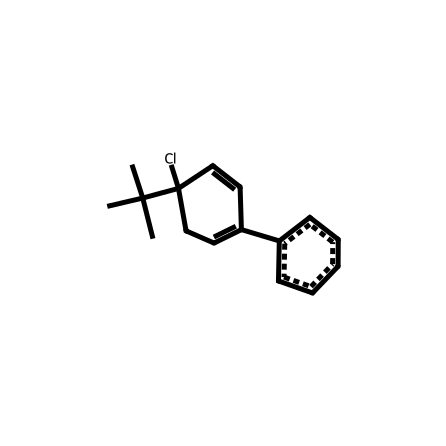 CC(C)(C)C1(Cl)C=CC(c2ccccc2)=CC1